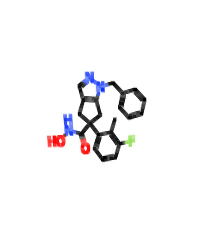 Cc1c(F)cccc1C1(C(=O)NO)Cc2cnn(Cc3ccccc3)c2C1